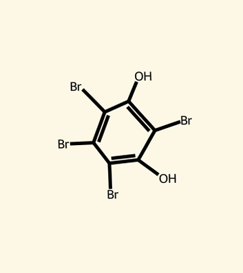 Oc1c(Br)c(O)c(Br)c(Br)c1Br